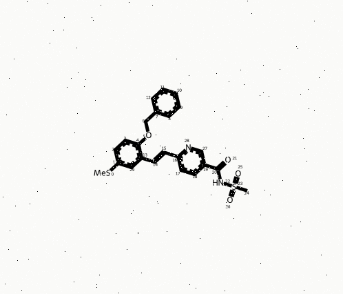 CSc1ccc(OCc2ccccc2)c(/C=C/c2ccc(C(=O)NS(C)(=O)=O)cn2)c1